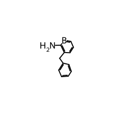 Nc1bcccc1Cc1ccccc1